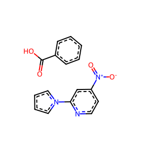 O=C(O)c1ccccc1.O=[N+]([O-])c1ccnc(-n2cccc2)c1